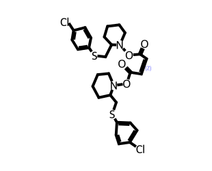 O=C(/C=C\C(=O)ON1CCCCC1CSc1ccc(Cl)cc1)ON1CCCCC1CSc1ccc(Cl)cc1